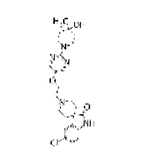 CC1(O)CCN(c2ncc(OCCN3CCC4(CC3)C(=O)Nc3ccc(Cl)cc34)cn2)CC1